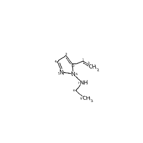 C=Cc1ccnn1NCC